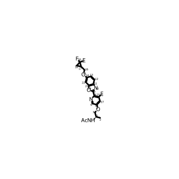 CC(=O)N[C@@H](C)COc1cnc(-c2nc3ccc(OCC4CC4(F)F)cc3o2)c(F)c1